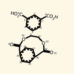 O=C(O)c1cccc(C(=O)O)c1.O=C1OCCOC(=O)c2ccc1cc2